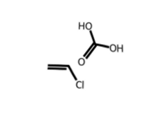 C=CCl.O=C(O)O